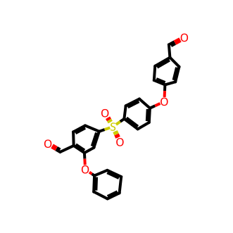 O=Cc1ccc(Oc2ccc(S(=O)(=O)c3ccc(C=O)c(Oc4ccccc4)c3)cc2)cc1